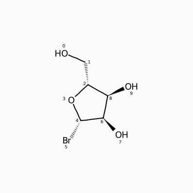 OC[C@H]1O[C@@H](Br)[C@H](O)[C@@H]1O